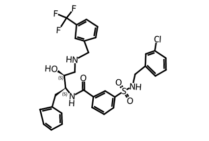 O=C(N[C@@H](Cc1ccccc1)[C@@H](O)CNCc1cccc(C(F)(F)F)c1)c1cccc(S(=O)(=O)NCc2cccc(Cl)c2)c1